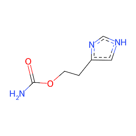 NC(=O)OCCc1c[nH]cn1